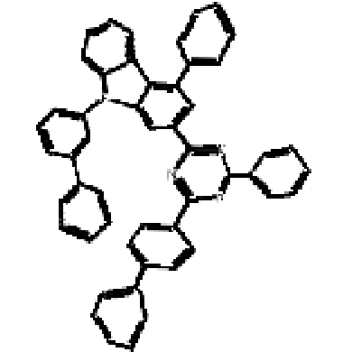 c1ccc(-c2ccc(-c3nc(-c4ccccc4)nc(-c4cc(-c5ccccc5)c5c6ccccc6n(-c6cccc(-c7ccccc7)c6)c5c4)n3)cc2)cc1